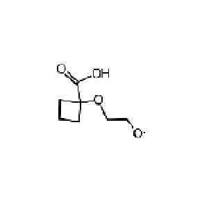 [O]CCOC1(C(=O)O)CCC1